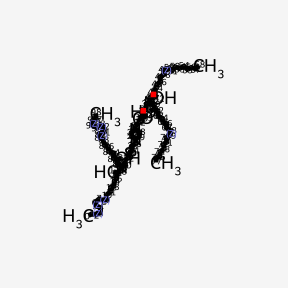 CC/C=C\C/C=C\C/C=C\CCCCCCC(O)CN(CCCSSCCN1CCN(CCOC(=O)CCCN(CC(O)CCCCCC/C=C\CCCCCCCC)CC(O)CCCCCC/C=C\CCCCCCCC)CC1)CC(O)CCCCCC/C=C\C/C=C\C/C=C\CC